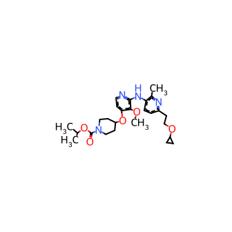 COc1c(OC2CCN(C(=O)OC(C)C)CC2)ccnc1Nc1ccc(CCOC2CC2)nc1C